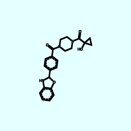 O=C(c1ccc(C2Nc3ccccc3O2)cc1)N1CCN(C(=O)C2(O)CC2)CC1